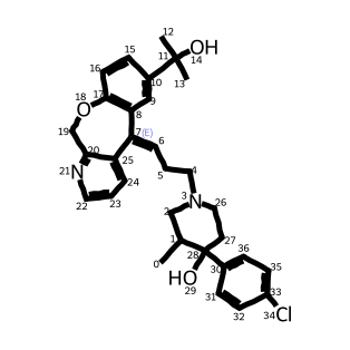 CC1CN(CC/C=C2/c3cc(C(C)(C)O)ccc3OCc3ncccc32)CCC1(O)c1ccc(Cl)cc1